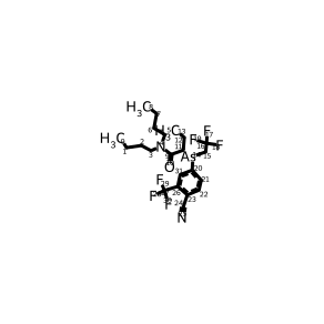 CCCCN(CCCC)C(=O)C(CC)[As](CC(F)(F)F)c1ccc(C#N)c(C(F)(F)F)c1